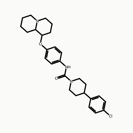 O=C(Nc1ccc(OC2CCCN3CCCCC23)cc1)N1CCC(c2ccc(Cl)cc2)CC1